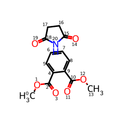 COC(=O)c1ccccc1C(=O)OC.O=C1CCC(=O)N1